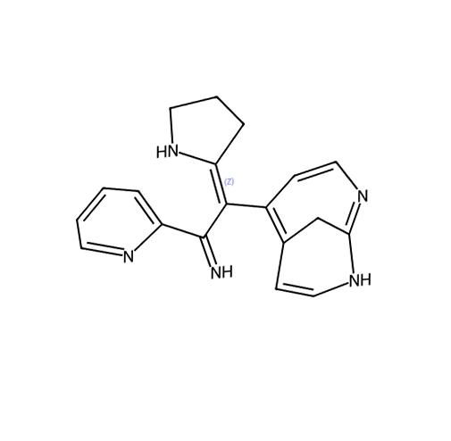 N=C(/C(C1=C2C=CNC(=NC=C1)C2)=C1/CCCN1)c1ccccn1